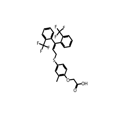 Cc1cc(SCC=C(c2ccccc2C(F)(F)F)c2ccccc2C(F)(F)F)ccc1OCC(=O)O